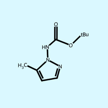 Cc1ccnn1NC(=O)OC(C)(C)C